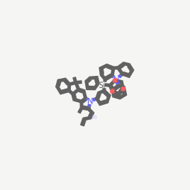 C=C/C=C\c1c(C)c2cc3c(cc2n1-c1cccc([Si](c2ccccc2)(c2ccccc2)c2cccc4c5ccccc5n(-c5ccccc5)c24)c1)C(C)(C)c1ccccc1-3